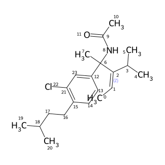 C/C=C(/C(C)C)C(C)(NC(C)=O)c1ccc(CCC(C)C)c(Cl)c1